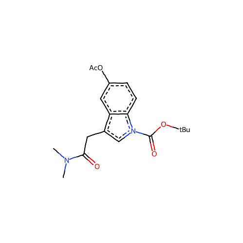 CC(=O)Oc1ccc2c(c1)c(CC(=O)N(C)C)cn2C(=O)OC(C)(C)C